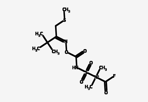 CSCC(=NOC(=O)NS(=O)(=O)[N+](C)(C)C(=O)F)C(C)(C)C